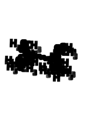 CN(C)C(=O)C=Nc1nc(NC2CC(C)(C)NC(C)(C)C2)nc(SCCCCCCSc2nc(N=CC(=O)N(C)C)nc(NC3CC(C)(C)NC(C)(C)C3)n2)n1